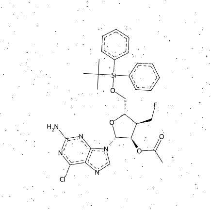 CC(=O)O[C@@H]1[C@H](CF)[C@@H](CO[Si](c2ccccc2)(c2ccccc2)C(C)(C)C)O[C@H]1n1cnc2c(Cl)nc(N)nc21